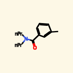 CCCN(CCC)C(=O)c1cccc(C)c1